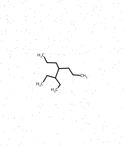 CCC[C](CCC)C(CC)CC